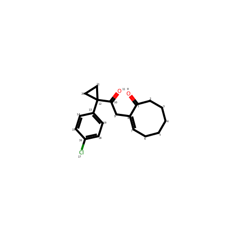 O=C1CCCCC/C=C\1CC(=O)C1(c2ccc(Cl)cc2)CC1